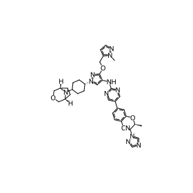 C[C@@H](Cn1cncn1)Oc1cc(-c2cnc(Nc3cn([C@H]4CC[C@H](N5[C@@H]6CC[C@H]5COC6)CC4)nc3OCc3ccnn3C)nc2)ccc1C#N